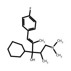 CC(=Cc1ccc(F)cc1)C(O)(C(C)CN(C)C)C1CCCCC1